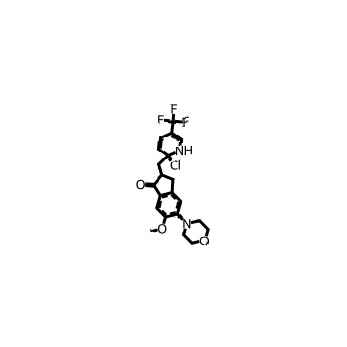 COc1cc2c(cc1N1CCOCC1)CC(CC1(Cl)C=CC(C(F)(F)F)=CN1)C2=O